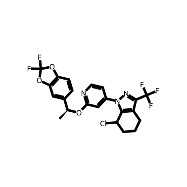 C[C@H](Oc1cc(-n2nc(C(F)(F)F)c3c2C(Cl)CCC3)ccn1)c1ccc2c(c1)OC(F)(F)O2